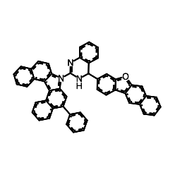 c1ccc(-c2cc3c(c4ccccc24)c2c4ccccc4ccc2n3C2=Nc3ccccc3C(c3ccc4c(c3)oc3cc5ccccc5cc34)N2)cc1